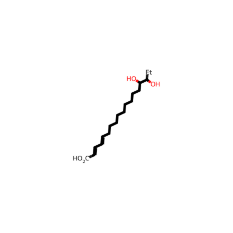 CCC(O)C(O)CCCCCCCCCC=CC=CC(=O)O